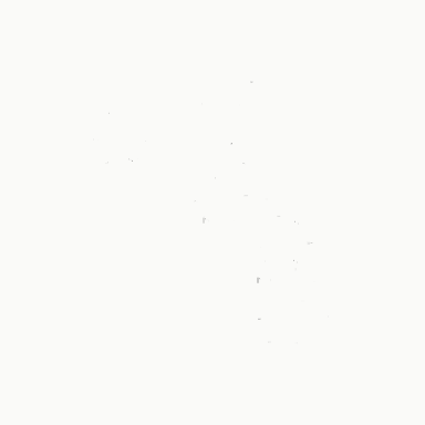 O=C(CCCN1CCOCC1)Nc1cc2c(Nc3cccc(Cl)c3F)ncnc2cc1OCCOC(F)F